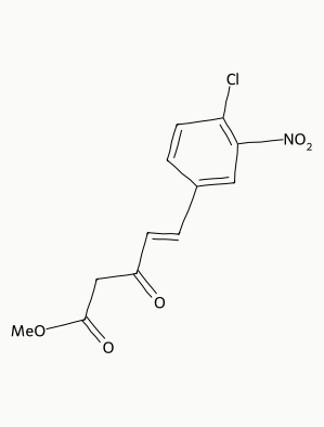 COC(=O)CC(=O)C=Cc1ccc(Cl)c([N+](=O)[O-])c1